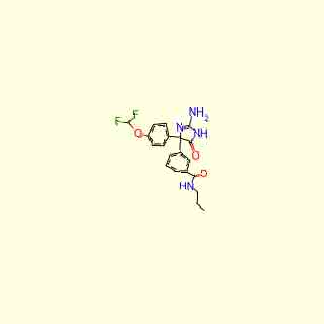 CCCNC(=O)c1cccc(C2(c3ccc(OC(F)F)cc3)N=C(N)NC2=O)c1